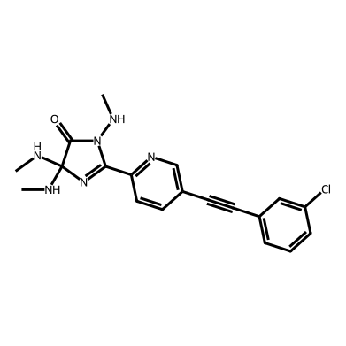 CNN1C(=O)C(NC)(NC)N=C1c1ccc(C#Cc2cccc(Cl)c2)cn1